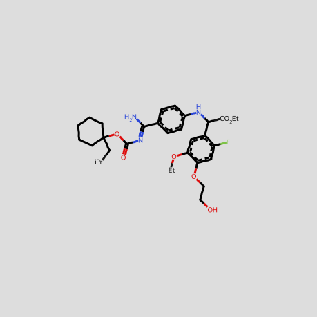 CCOC(=O)C(Nc1ccc(C(N)=NC(=O)OC2(CC(C)C)CCCCC2)cc1)c1cc(OCC)c(OCCO)cc1F